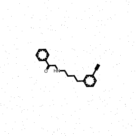 C#Cc1cccc(CCCCNCC(=O)c2ccccc2)c1